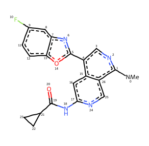 CNc1ncc(-c2nc3cc(F)ccc3o2)c2cc(NC(=O)C3CC3)ncc12